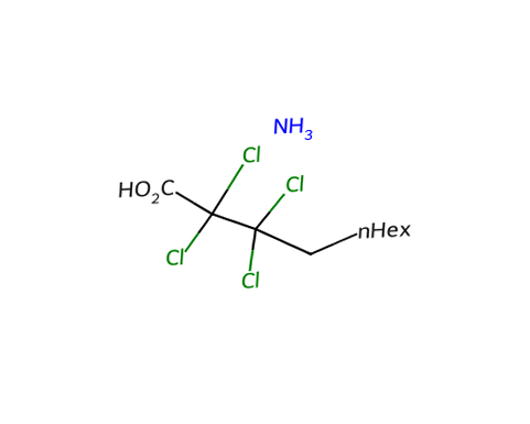 CCCCCCCC(Cl)(Cl)C(Cl)(Cl)C(=O)O.N